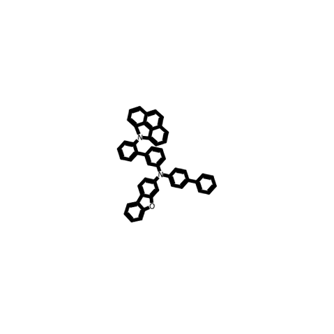 c1ccc(-c2ccc(N(c3cccc(-c4ccccc4-n4c5cccc6ccc7cccc4c7c65)c3)c3ccc4c(c3)oc3ccccc34)cc2)cc1